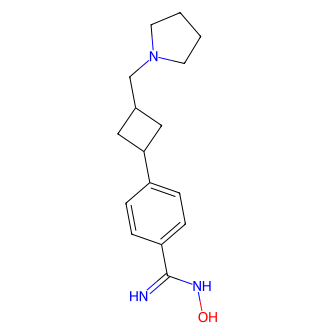 N=C(NO)c1ccc(C2CC(CN3CCCC3)C2)cc1